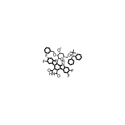 CO[C@@H]1C[C@@H](CO[Si](c2ccccc2)(c2ccccc2)C(C)(C)C)O[C@@H](n2c3cc(F)c(F)cc3c3c4c(c5c6cc(F)c(F)cc6[nH]c5c32)C(=O)NC4=O)[C@@H]1OCc1ccccc1